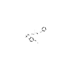 COC(=O)c1ccc2c(c1)N(CCNC(=O)OCc1ccccc1)C(=O)C(C)(C)O2